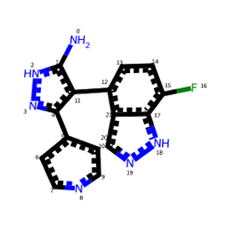 Nc1[nH]nc(-c2ccncc2)c1-c1ccc(F)c2[nH]ncc12